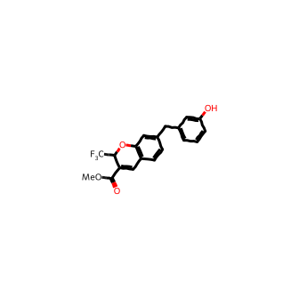 COC(=O)C1=Cc2ccc(Cc3cccc(O)c3)cc2OC1C(F)(F)F